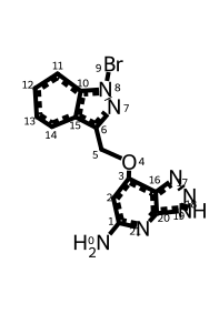 Nc1cc(OCc2nn(Br)c3ccccc23)c2nn[nH]c2n1